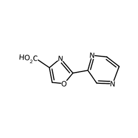 O=C(O)c1coc(-c2cnccn2)n1